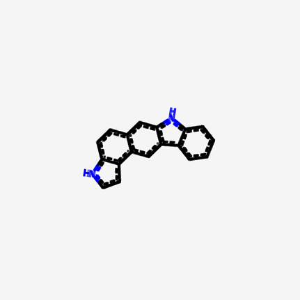 c1ccc2c(c1)[nH]c1cc3ccc4[nH]ccc4c3cc12